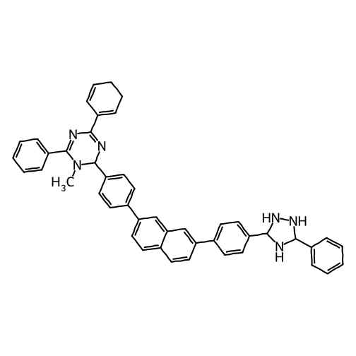 CN1C(c2ccccc2)=NC(C2=CCCC=C2)=NC1c1ccc(-c2ccc3ccc(-c4ccc(C5NNC(c6ccccc6)N5)cc4)cc3c2)cc1